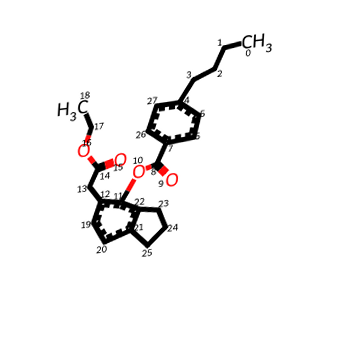 CCCCc1ccc(C(=O)Oc2c(CC(=O)OCC)ccc3c2CCC3)cc1